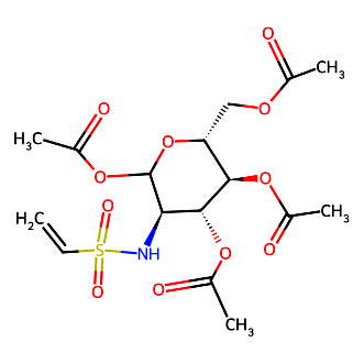 C=CS(=O)(=O)N[C@H]1C(OC(C)=O)O[C@H](COC(C)=O)[C@@H](OC(C)=O)[C@@H]1OC(C)=O